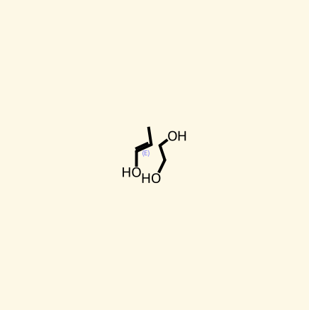 C/C=C/O.OCCO